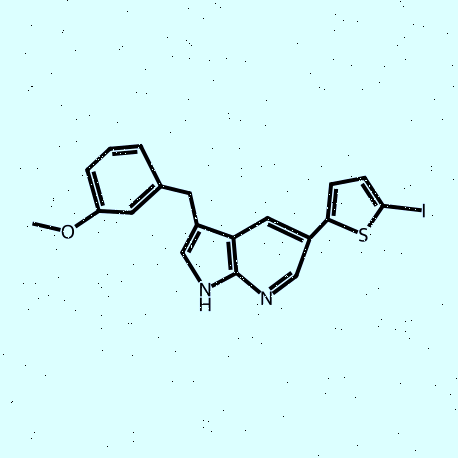 COc1cccc(Cc2c[nH]c3ncc(-c4ccc(I)s4)cc23)c1